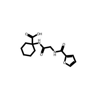 O=C(CNC(=O)c1ccco1)NC1(C(=O)O)CCCCC1